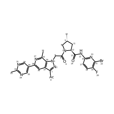 CC(=O)c1nn(CC(=O)N2C[C@H](C)C[C@H]2C(=O)Nc2ccc(F)c(Br)n2)c2c(C)nc(-c3cnc(C)nc3)cc12